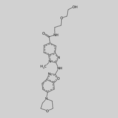 Cn1c(Nc2nc3ccc(N4CCOCC4)cc3o2)nc2cc(C(=O)NCCOCCO)ccc21